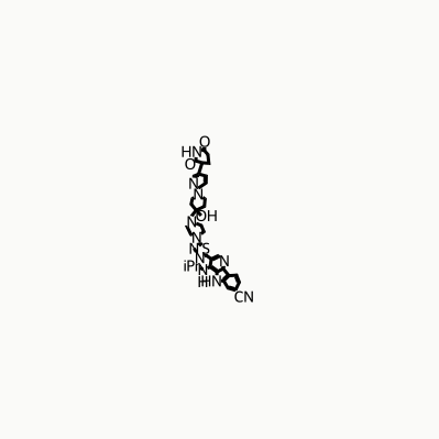 CC(C)Nc1c(-c2nnc(N3CCN(CC4(O)CCN(c5ccc(C6CCC(=O)NC6=O)cn5)CC4)CC3)s2)cnc2c1[nH]c1cc(C#N)ccc12